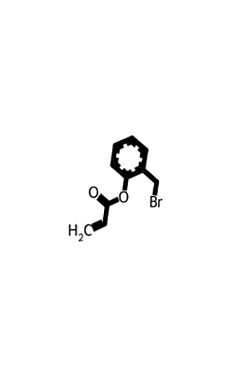 C=CC(=O)Oc1ccccc1CBr